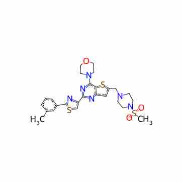 Cc1cccc(-c2nc(-c3nc(N4CCOCC4)c4sc(CN5CCN(S(C)(=O)=O)CC5)cc4n3)cs2)c1